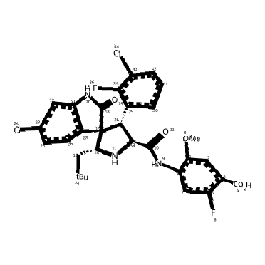 COc1cc(C(=O)O)c(F)cc1NC(=O)[C@H]1N[C@H](CC(C)(C)C)[C@]2(C(=O)Nc3cc(Cl)ccc32)[C@@H]1c1cccc(Cl)c1F